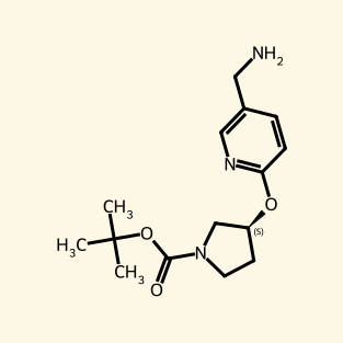 CC(C)(C)OC(=O)N1CC[C@H](Oc2ccc(CN)cn2)C1